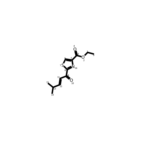 CCOC(=O)c1csc(C(=O)C=CC(C)C)n1